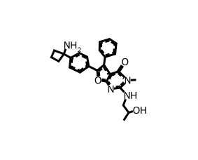 CC(O)CNc1nc2oc(-c3ccc(C4(N)CCC4)cc3)c(-c3ccccc3)c2c(=O)n1C